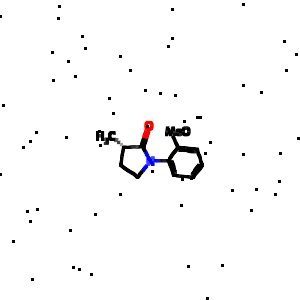 COc1ccccc1N1CC[C@H](C)C1=O